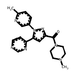 Cc1ccc(-n2nc(C(=O)N3CCN(C)CC3)cc2-c2ccncn2)cn1